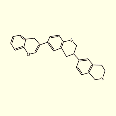 C1=C(c2ccc3c(c2)CC(c2ccc4c(c2)CCSC4)CS3)Cc2ccccc2O1